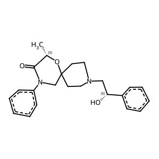 C[C@@H]1OC2(CCN(C[C@@H](O)c3ccccc3)CC2)CN(c2ccccc2)C1=O